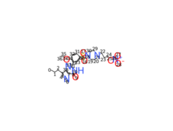 CCCc1cn(C)c2c(=O)[nH]c(-c3cc(S(=O)(=O)N4CCN(CCCO[N+](=O)[O-])CC4)ccc3OCC)nc12